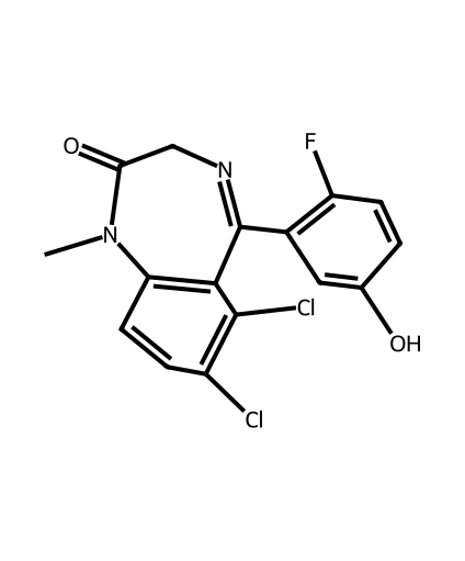 CN1C(=O)CN=C(c2cc(O)ccc2F)c2c1ccc(Cl)c2Cl